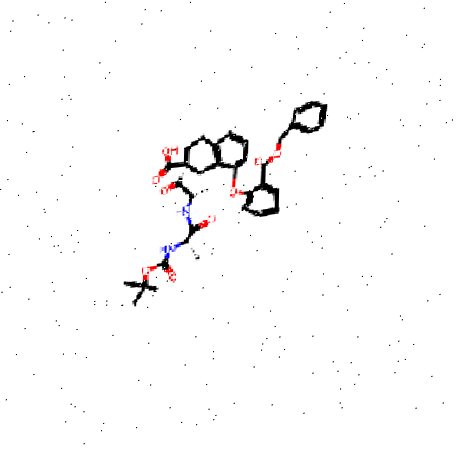 C[C@H](NC(=O)OC(C)(C)C)C(=O)N[C@@H](C)C(=O)[C@]1(C(=O)O)CCc2cccc(Oc3ccccc3C(=O)OCc3ccccc3)c2C1